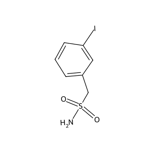 NS(=O)(=O)Cc1cccc(I)c1